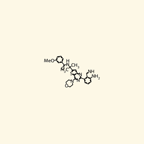 COc1cccc(C(=O)NC(C)(C)c2cc3nc(-c4cccc(N)c4C=N)nc(N4CCOCC4)c3s2)c1